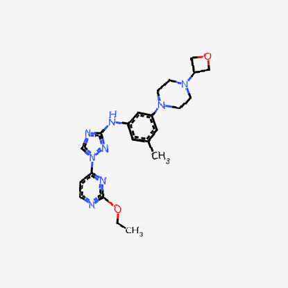 CCOc1nccc(-n2cnc(Nc3cc(C)cc(N4CCN(C5COC5)CC4)c3)n2)n1